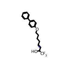 OC(/C=C/CCCCOc1ccc(-c2ccccc2)cc1)C(F)(F)F